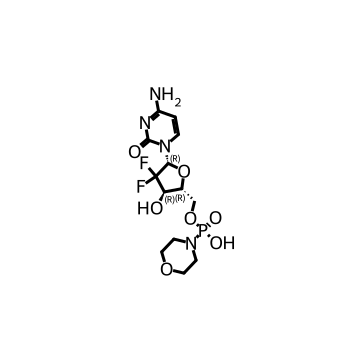 Nc1ccn([C@@H]2O[C@H](COP(=O)(O)N3CCOCC3)[C@@H](O)C2(F)F)c(=O)n1